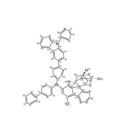 Clc1cc(N(c2ccc(-c3ccccc3)cc2)c2ccc(-c3ccc4c(c3)c3ccccc3n4-c3ccccc3)cc2)cc2c1-c1ccccc1C21C2C[C@H]3C[C@@H](C2)C[C@@H]1C3